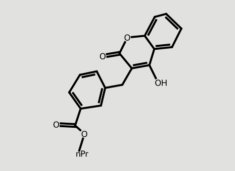 CCCOC(=O)c1cccc(Cc2c(O)c3ccccc3oc2=O)c1